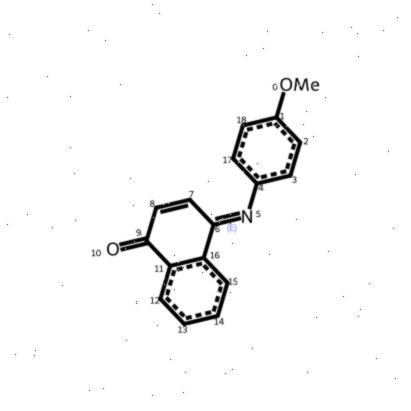 COc1ccc(/N=C2\C=CC(=O)c3ccccc32)cc1